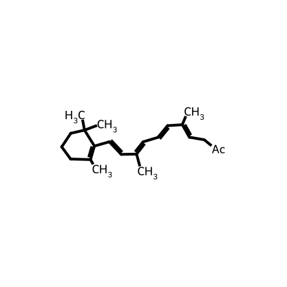 CC(=O)CC=C(C)C=CC=C(C)C=CC1=C(C)CCCC1(C)C